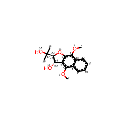 COc1c2c(c(OC)c3ccccc13)[C@H](O)[C@@H](C(C)(C)O)O2